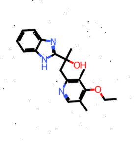 CCOc1c(C)cnc(CC(C)(O)c2nc3ccccc3[nH]2)c1C